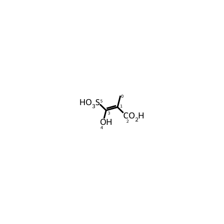 CC(C(=O)O)=C(O)S(=O)(=O)O